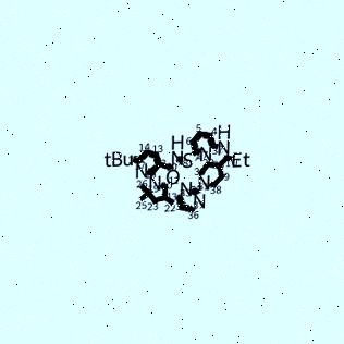 CCC(Nc1cccc(SNC(=O)c2ccc(C(C)(C)C)nc2N2CC(C)CC2(C)C)n1)C1CCN(c2ncccn2)CC1